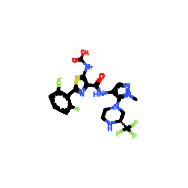 Cn1ncc(NC(=O)c2nc(-c3c(F)cccc3F)sc2NC(=O)O)c1N1CCN[C@@H](C(F)(F)F)C1